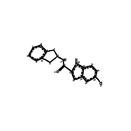 O=C(NC1Cc2ccccc2C1)c1cc2cc(Cl)ccc2[nH]1